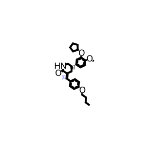 CCCCOc1ccc(/C=C2\C[C@@H](c3ccc(OC)c(OC4CCCC4)c3)CNC2=O)cc1